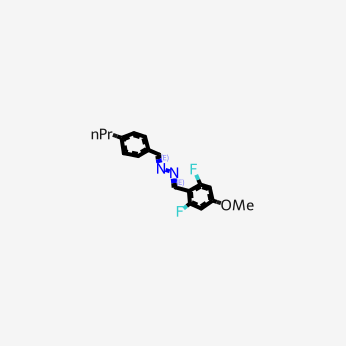 CCCc1ccc(/C=N/N=C/c2c(F)cc(OC)cc2F)cc1